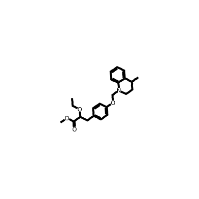 CCOC(Cc1ccc(OCN2CCC(C)c3ccccc32)cc1)C(=O)OC